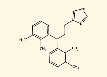 Cc1cccc(C(CCc2c[nH]cn2)c2cccc(C)c2C)c1C